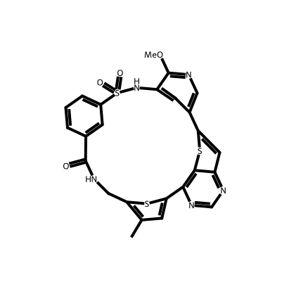 COc1ncc2cc1NS(=O)(=O)c1cccc(c1)C(=O)NCc1sc(cc1C)-c1ncnc3cc-2sc13